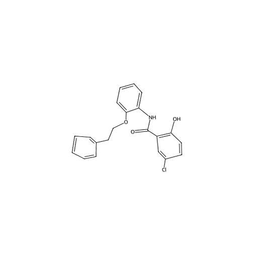 O=C(Nc1ccccc1OCCc1ccccc1)c1cc(Cl)ccc1O